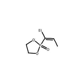 C/C=C(/CC)P1(=O)OCCO1